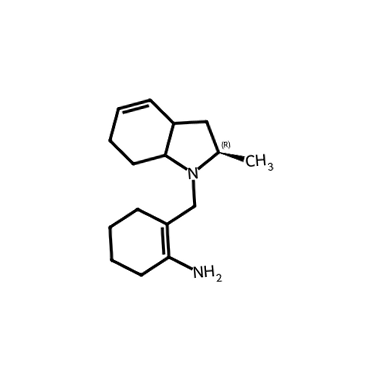 C[C@@H]1CC2C=CCCC2N1CC1=C(N)CCCC1